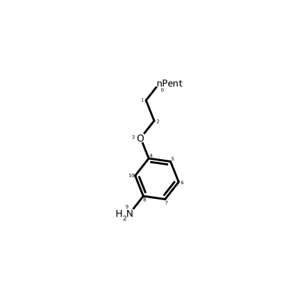 CCCCCCCOc1cccc(N)c1